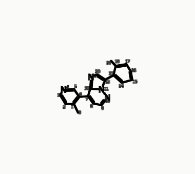 Cc1ccncc1-c1ccnn2c(-c3ccccc3C)cnc12